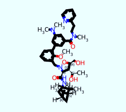 COc1c(CN2O[C@@H](CO)[C@H]([C@H](C)O)[C@H]2C(=O)N[C@H]2C[C@H]3C[C@@H]([C@@H]2C)C3(C)C)cccc1-c1cc(C(=O)N(C)CCc2ccccn2)cc(N(C)C)c1